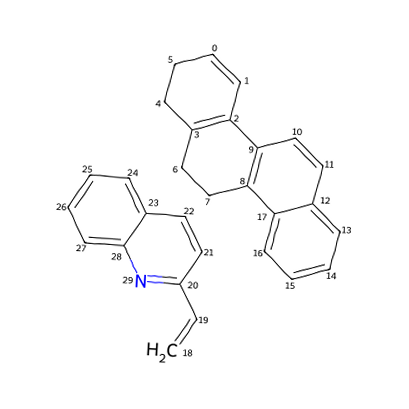 C1=CC2=C(CC1)CCc1c2ccc2ccccc12.C=Cc1ccc2ccccc2n1